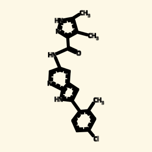 Cc1cc(Cl)ccc1-c1cc2cc(NC(=O)c3n[nH]c(C)c3C)cnc2[nH]1